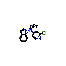 CCCN(c1ccnc(Cl)c1)n1ccc2ccccc21